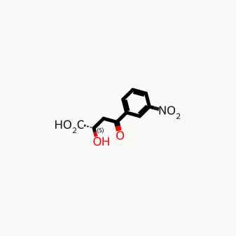 O=C(C[C@H](O)C(=O)O)c1cccc([N+](=O)[O-])c1